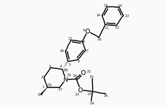 C[C@H]1CC[C@H](c2ccc(OCc3ccccc3)cc2)N(C(=O)OC(C)(C)C)C1